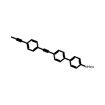 CC#Cc1ccc(C#Cc2ccc(-c3ccc(CCCCCC)cc3)cc2)cc1